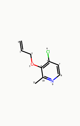 C=CCOc1c(Cl)ccnc1C